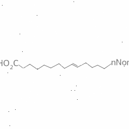 CCCCCCCCCCCCCC=CCCCCCCCC(=O)O